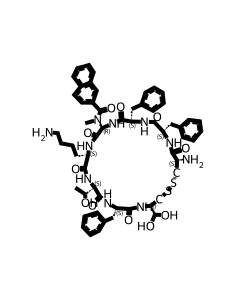 CC(O)[C@@H]1NC(=O)[C@H](CCCCN)NC(=O)[C@@H](N(C)C(=O)c2ccc3ccccc3c2)NC(=O)[C@H](Cc2ccccc2)NC(=O)[C@H](Cc2ccccc2)NC(=O)[C@H](N)CSSC[C@@H](C(O)O)NC(=O)[C@H](Cc2ccccc2)NC1=O